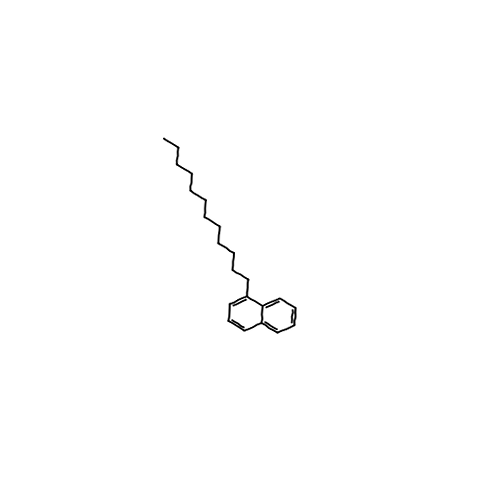 CCCCCCCCCCCCc1cccc2ccccc12